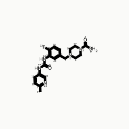 BC(=O)N1CCN(Cc2ccc(F)c(NC(=O)Nc3ccc(C)nc3)c2)CC1